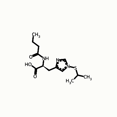 CCCC(=O)N[C@@H](Cc1cn(SC(C)C)cn1)C(=O)O